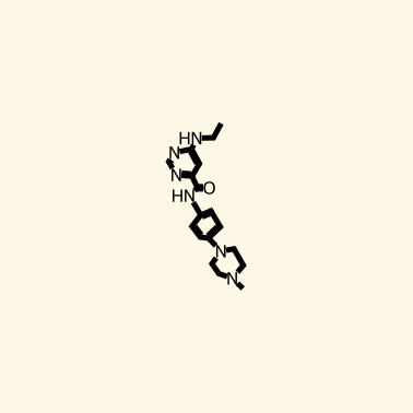 CCNc1cc(C(=O)Nc2ccc(N3CCN(C)CC3)cc2)ncn1